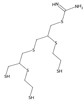 N=C(N)SCC(CSCC(CS)SCCS)SCCS